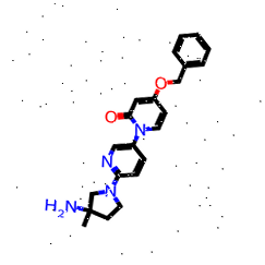 CC1(N)CCN(c2ccc(-n3ccc(OCc4ccccc4)cc3=O)cn2)C1